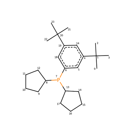 CC(C)(C)c1cc(P(C2CCCC2)C2CCCC2)cc(C(C)(C)C)c1